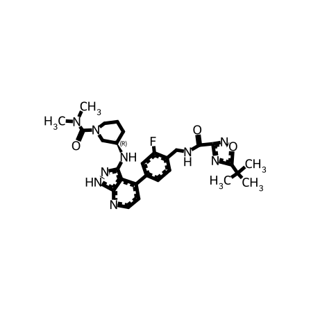 CN(C)C(=O)N1CCC[C@@H](Nc2n[nH]c3nccc(-c4ccc(CNC(=O)c5noc(C(C)(C)C)n5)c(F)c4)c23)C1